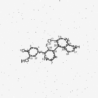 O=c1ccn(-c2nccc(-c3c(Cl)cnc4[nH]ccc34)c2F)cc1O